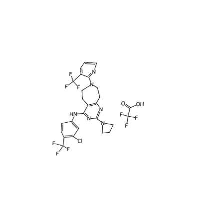 FC(F)(F)c1ccc(Nc2nc(N3CCC3)nc3c2CCN(c2ncccc2C(F)(F)F)CC3)cc1Cl.O=C(O)C(F)(F)F